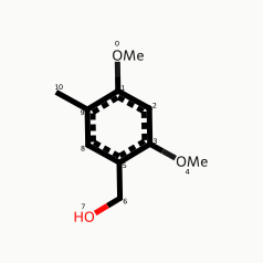 COc1cc(OC)c(CO)cc1C